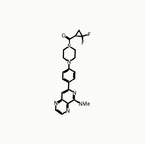 CNc1nc(-c2ccc(N3CCN(C(=O)C4CC4(F)F)CC3)cc2)cc2nccnc12